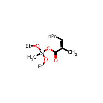 CCCC=C(C)C(=O)O[Si](C)(OCC)OCC